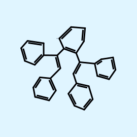 [c]1cccc(C(=Cc2ccccc2)c2ccccc2)c1C(=Cc1ccccc1)c1ccccc1